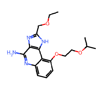 CCOCc1nc2c(N)nc3cccc(OCCOC(C)C)c3c2[nH]1